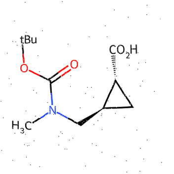 CN(C[C@@H]1C[C@H]1C(=O)O)C(=O)OC(C)(C)C